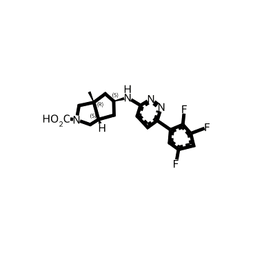 C[C@@]12C[C@@H](Nc3ccc(-c4cc(F)cc(F)c4F)nn3)C[C@@H]1CN(C(=O)O)C2